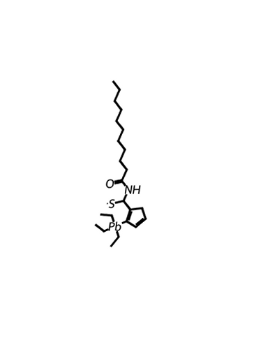 CCCCCCCCCCC(=O)NC([S])C1=[C]([Pb]([CH2]C)([CH2]C)[CH2]C)C=CC1